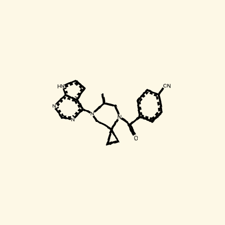 CC1CN(C(=O)c2ccc(C#N)cc2)C2(CC2)CN1c1ncnc2[nH]ccc12